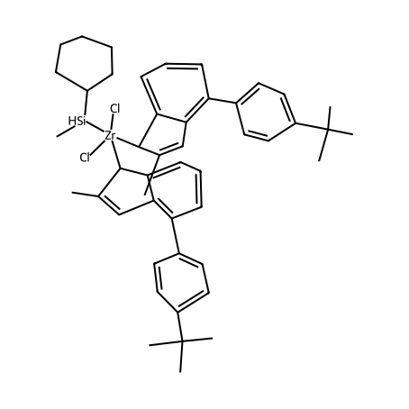 CC1=Cc2c(-c3ccc(C(C)(C)C)cc3)cccc2[CH]1[Zr]([Cl])([Cl])([CH]1C(C)=Cc2c(-c3ccc(C(C)(C)C)cc3)cccc21)[SiH](C)C1CCCCC1